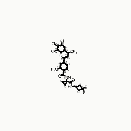 O=C(NC1(C(=O)NC2CC(F)(F)C2)CC1)c1ccc(/C(F)=C/C(c2cc(Cl)c(Cl)c(Cl)c2)C(F)(F)F)cc1C(F)(F)F